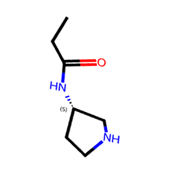 CCC(=O)N[C@H]1CCNC1